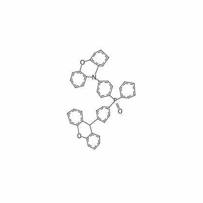 O=P(c1ccccc1)(c1ccc(C2c3ccccc3Oc3ccccc32)cc1)c1ccc(N2c3ccccc3Oc3ccccc32)cc1